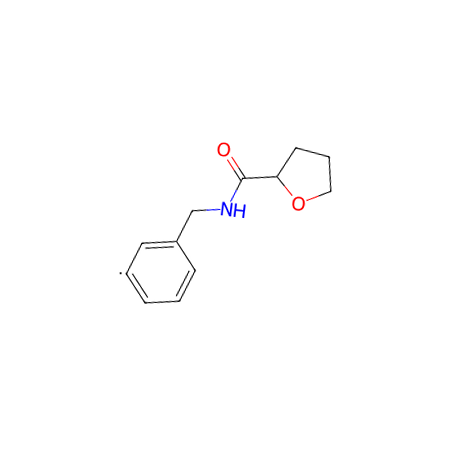 O=C(NCc1c[c]ccc1)C1CCCO1